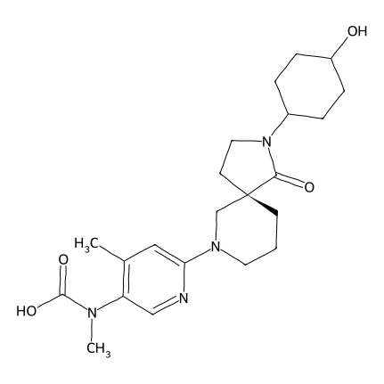 Cc1cc(N2CCC[C@]3(CCN(C4CCC(O)CC4)C3=O)C2)ncc1N(C)C(=O)O